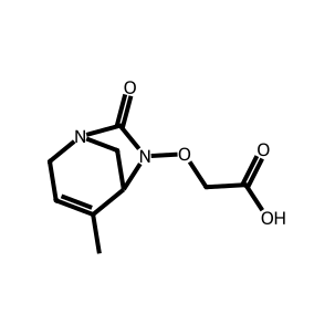 CC1=CCN2CC1N(OCC(=O)O)C2=O